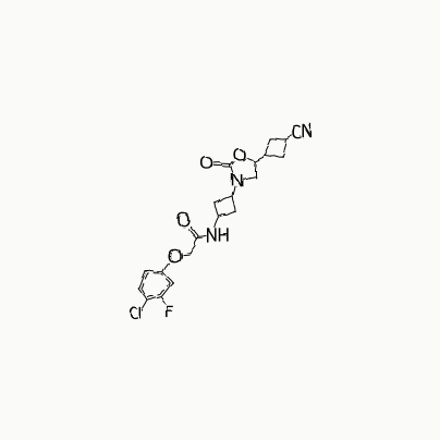 N#CC1CC(C2CN(C3CC(NC(=O)COc4ccc(Cl)c(F)c4)C3)C(=O)O2)C1